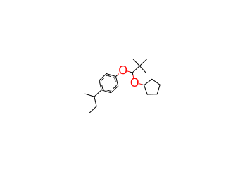 CCC(C)c1ccc(OC(OC2CCCC2)C(C)(C)C)cc1